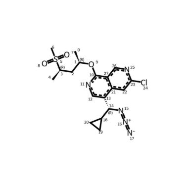 C[C@H](C[C@@H](C)S(C)(=O)=O)Oc1ncc([C@H](N=[N+]=[N-])C2CC2)c2cc(Cl)ncc12